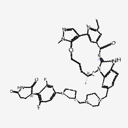 Cc1cc2cc(n1)-c1cnn(C)c1OCCC[C@@H](C)CN1/C(=N/C2=O)Nc2ccc(CN3CCN(C[C@@H]4CCN(c5cc(F)c([C@H]6CCC(=O)NC6=O)c(F)c5)C4)CC3)cc21